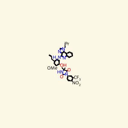 C=CCc1ccc(O)c(OC)c1.CC(C)Cn1cnc2c(N)nc3ccccc3c21.CC1(C)NC(=O)N(c2ccc([N+](=O)[O-])c(C(F)(F)F)c2)C1=O